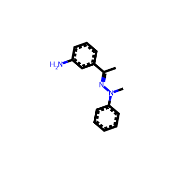 C/C(=N\N(C)c1ccccc1)c1cccc(N)c1